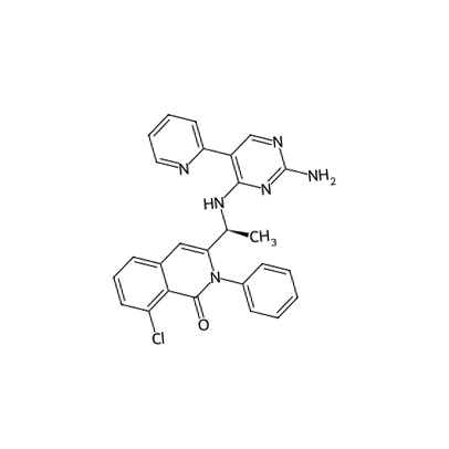 C[C@H](Nc1nc(N)ncc1-c1ccccn1)c1cc2cccc(Cl)c2c(=O)n1-c1ccccc1